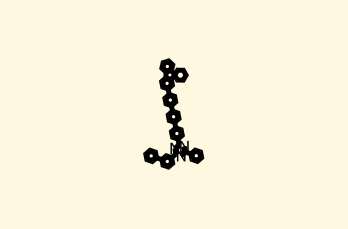 c1ccc(-c2cccc(-c3nc(-c4ccccc4)nc(-c4ccc(-c5ccc(-c6ccc(-c7ccc8c(c7)C7(CCCCC7)c7ccccc7-8)cc6)cc5)cc4)n3)c2)cc1